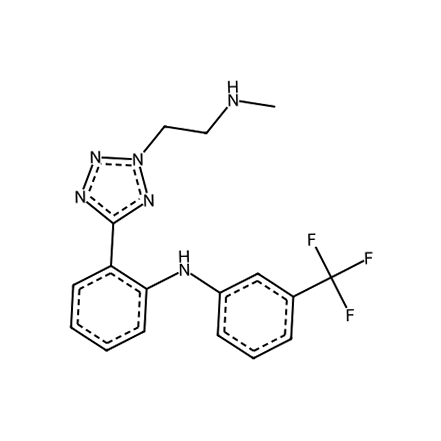 CNCCn1nnc(-c2ccccc2Nc2cccc(C(F)(F)F)c2)n1